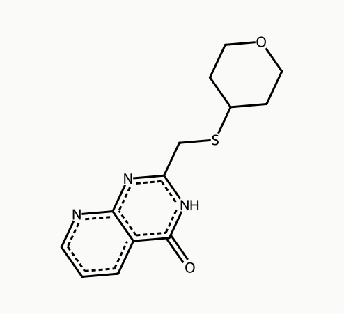 O=c1[nH]c(CSC2CCOCC2)nc2ncccc12